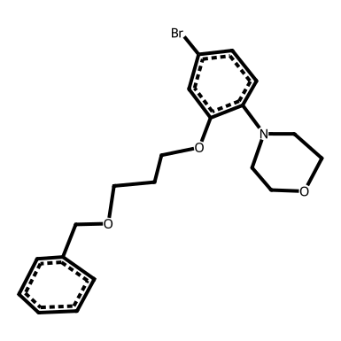 Brc1ccc(N2CCOCC2)c(OCCCOCc2ccccc2)c1